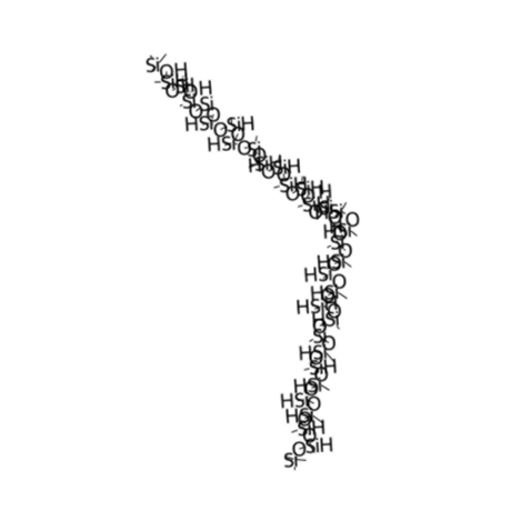 C[SiH](O[SiH](C)O[SiH](C)O[SiH](C)O[SiH](C)O[SiH](C)O[SiH](C)O[SiH](C)O[SiH](C)O[SiH](C)O[SiH](C)O[SiH](C)O[SiH](C)O[SiH](C)O[SiH](C)O[SiH](C)O[Si](C)(C)C)O[SiH](C)O[SiH](C)O[SiH](C)O[SiH](C)O[SiH](C)O[SiH](C)O[SiH](C)O[SiH](C)O[SiH](C)O[SiH](C)O[SiH](C)O[SiH](C)O[SiH](C)O[SiH](C)O[Si](C)(C)C